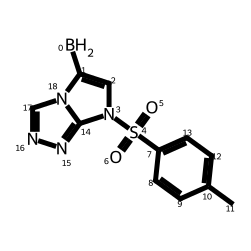 Bc1cn(S(=O)(=O)c2ccc(C)cc2)c2nncn12